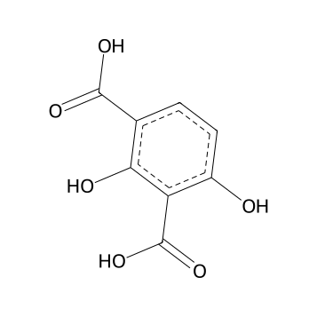 O=C(O)c1ccc(O)c(C(=O)O)c1O